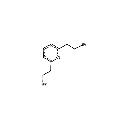 CC(C)CCc1cccc(CCC(C)C)n1